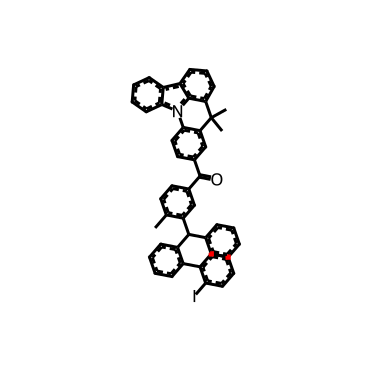 Cc1ccc(C(=O)c2ccc3c(c2)C(C)(C)c2cccc4c5ccccc5n-3c24)cc1C(c1ccccc1)c1ccccc1-c1ccccc1I